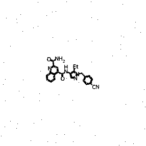 CCc1c(NC(=O)c2cc(C(N)=O)nc3ccccc23)cnn1Cc1ccc(C#N)cc1